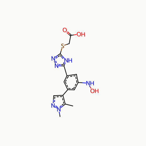 Cc1c(-c2cc(NO)cc(-c3nnc(SCC(=O)O)[nH]3)c2)cnn1C